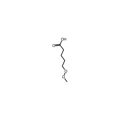 COOCCCCC(=O)O